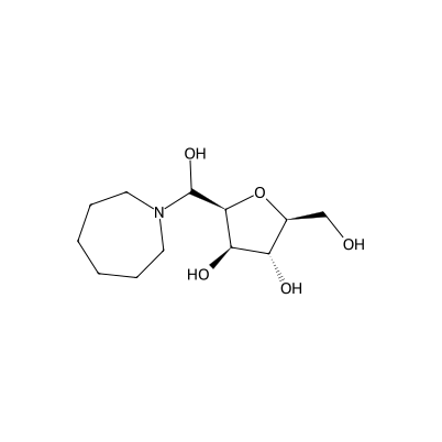 OC[C@@H]1O[C@H](C(O)N2CCCCCC2)[C@H](O)[C@H]1O